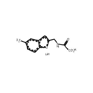 O=C(O)C(=O)NCc1cc2cc(C(F)(F)F)ccc2o1.[LiH]